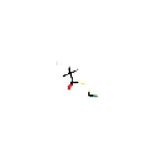 CC(C)(C)C(=O)SCCl